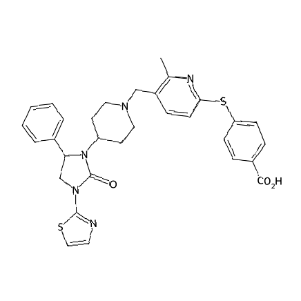 Cc1nc(Sc2ccc(C(=O)O)cc2)ccc1CN1CCC(N2C(=O)N(c3nccs3)CC2c2ccccc2)CC1